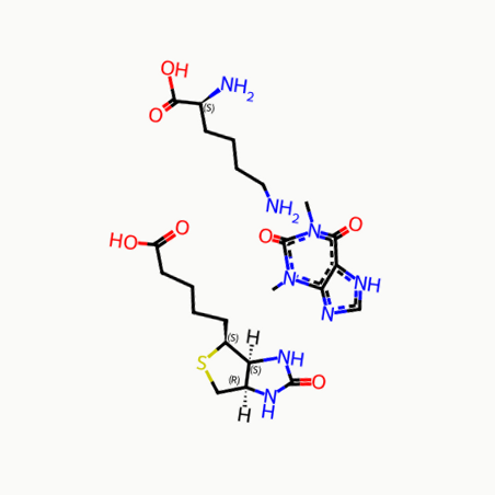 Cn1c(=O)c2[nH]cnc2n(C)c1=O.NCCCC[C@H](N)C(=O)O.O=C(O)CCCC[C@@H]1SC[C@@H]2NC(=O)N[C@@H]21